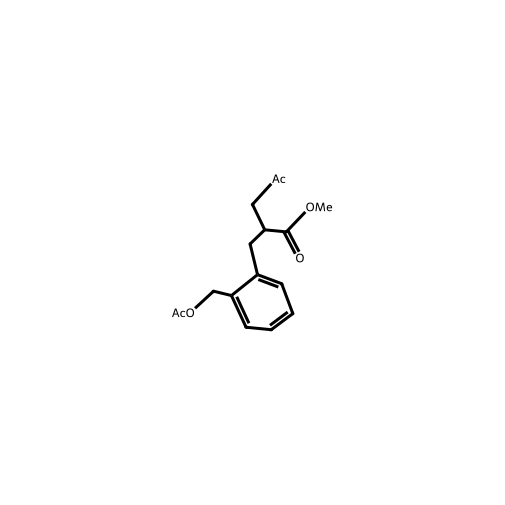 COC(=O)C(CC(C)=O)Cc1ccccc1COC(C)=O